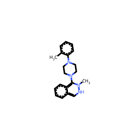 Cc1ccccc1N1CCN(C2=c3ccccc3=CNN2C)CC1